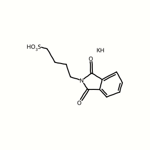 O=C1c2ccccc2C(=O)N1CCCCS(=O)(=O)O.[KH]